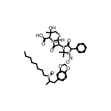 CC1(O)CS[C@@H]2C(N3C(=O)C(c4ccccc4)N(N=O)C3(C)C)C(=O)N2C1C(=O)O.CCCCCCCC[S+]([O-])C(C)Cc1ccc2c(c1)OCO2